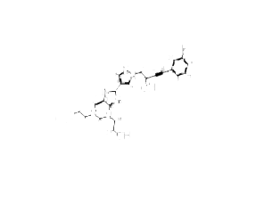 CCCN1C=C2NC(c3cnn(CC(O)C#Cc4cccc(F)c4)c3)N=C2N(CCC)C1